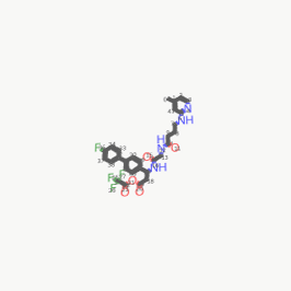 Cc1ccnc(NCCCC(=O)NCC(=O)NC(CC(=O)OC(=O)C(F)(F)F)c2ccc(-c3ccc(F)cc3)cc2)c1